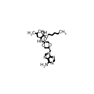 CCCCCOC(O)[C@H](CC(C)C)NP1(=O)CO[C@@H](Cn2cnc3c(N)ncnc32)CO1